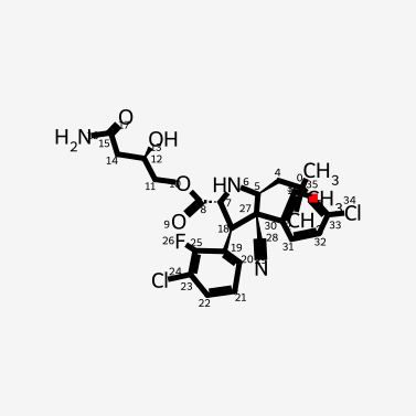 CC(C)(C)C[C@@H]1N[C@@H](C(=O)OC[C@H](O)CC(N)=O)[C@H](c2cccc(Cl)c2F)[C@@]1(C#N)c1ccc(Cl)cc1